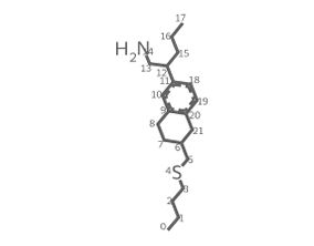 CCCCSCC1CCc2cc(C(CN)CCC)ccc2C1